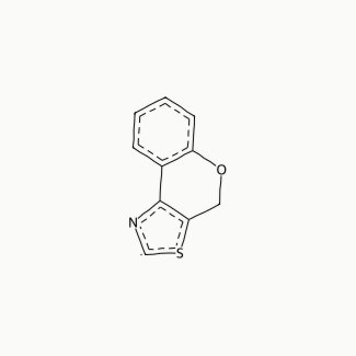 [c]1nc2c(s1)COc1ccccc1-2